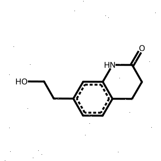 O=C1CCc2ccc(CCO)cc2N1